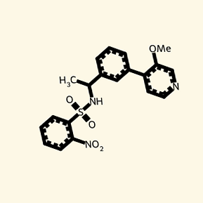 COc1cnccc1-c1cccc(C(C)NS(=O)(=O)c2ccccc2[N+](=O)[O-])c1